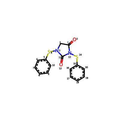 O=C1CN(Sc2ccccc2)C(=O)N1Sc1ccccc1